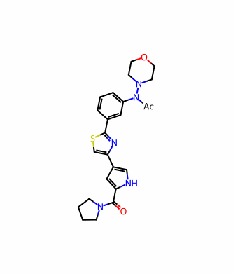 CC(=O)N(c1cccc(-c2nc(-c3c[nH]c(C(=O)N4CCCC4)c3)cs2)c1)N1CCOCC1